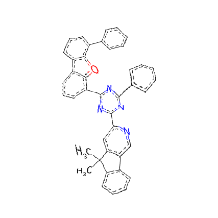 CC1(C)c2ccccc2-c2cnc(-c3nc(-c4ccccc4)nc(-c4cccc5c4oc4c(-c6ccccc6)cccc45)n3)cc21